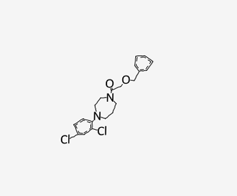 O=C(COCc1ccccc1)N1CCCN(c2ccc(Cl)cc2Cl)CC1